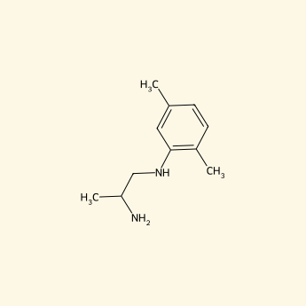 Cc1ccc(C)c(NCC(C)N)c1